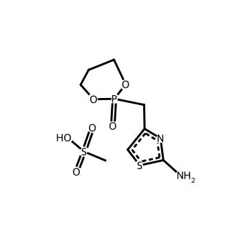 CS(=O)(=O)O.Nc1nc(CP2(=O)OCCCO2)cs1